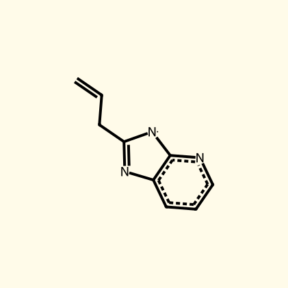 C=CCC1=Nc2cccnc2[N]1